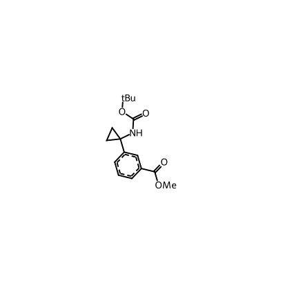 COC(=O)c1cccc(C2(NC(=O)OC(C)(C)C)CC2)c1